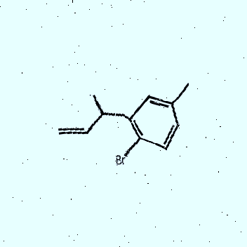 [CH2]C(C=C)c1cc(C)ccc1Br